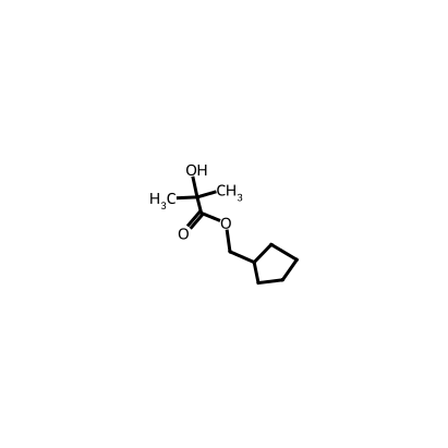 CC(C)(O)C(=O)OCC1CCCC1